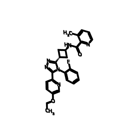 CCOc1ccc(-c2nnc([C@H]3C[C@H](NC(=O)c4ncccc4C)C3)n2-c2ccccc2F)nc1